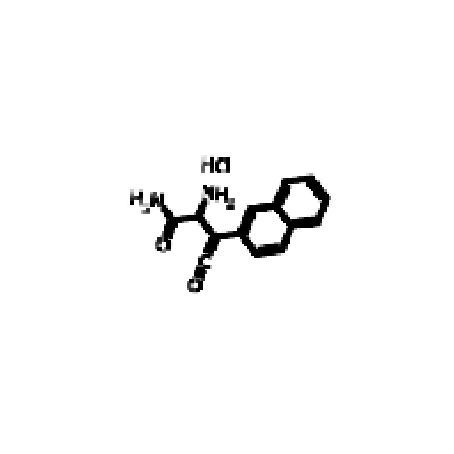 Cl.NC(=O)C(N)C(=C=O)c1ccc2ccccc2c1